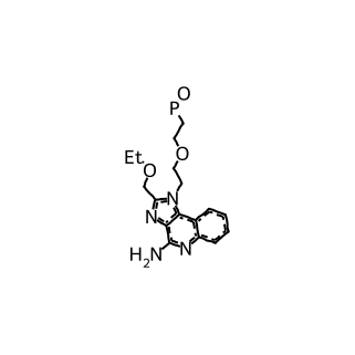 CCOCc1nc2c(N)nc3ccccc3c2n1CCOCCP=O